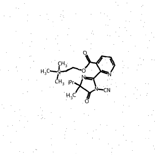 CC(C)C1(C)N=C(c2ncccc2C(=O)OCC[Si](C)(C)C)N(C#N)C1=O